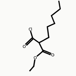 CCCCCCC(C(=O)Cl)C(=O)OCC